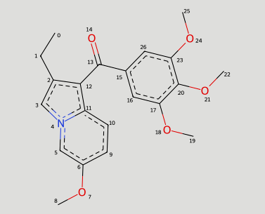 CCc1cn2cc(OC)ccc2c1C(=O)c1cc(OC)c(OC)c(OC)c1